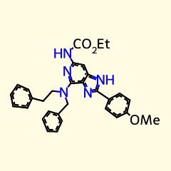 CCOC(=O)Nc1cc2[nH]c(-c3ccc(OC)cc3)nc2c(N(CCc2ccccc2)Cc2ccccc2)n1